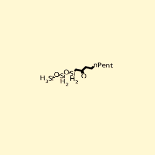 CCCCCCCC(=O)C[SiH2]O[SiH2]O[SiH3]